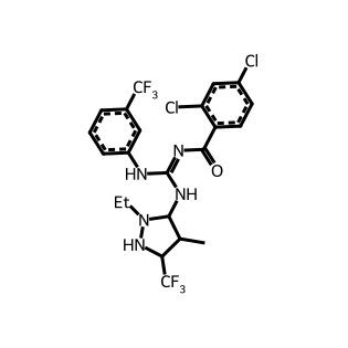 CCN1NC(C(F)(F)F)C(C)C1N/C(=N\C(=O)c1ccc(Cl)cc1Cl)Nc1cccc(C(F)(F)F)c1